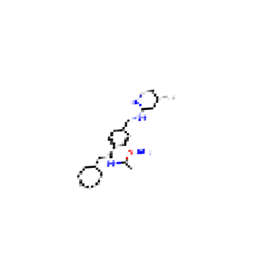 CC(NC(CC1CCCCCC1)c1ccc(CNC2CC(C#N)CCN2)cc1)ON